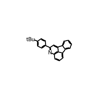 CC(C)(C)c1ccc(-c2cc3c4c(cccc4n2)-c2ccccc2-3)cc1